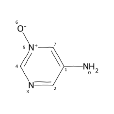 Nc1cnc[n+]([O-])c1